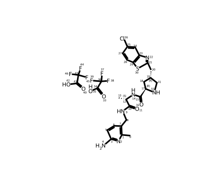 Cc1nc(N)ccc1CNC(=O)[C@H](C)NC(=O)[C@H]1C[C@H](Cc2nc3cc(Cl)ccc3s2)CN1.O=C(O)C(F)(F)F.O=C(O)C(F)(F)F